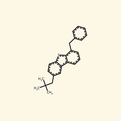 CC(C)(C)Cc1ccc2sc3c(Cc4ccccc4)cccc3c2c1